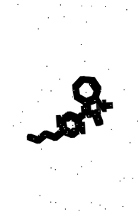 C=C1N(C)C2=C(CCCC=C2)N1c1cnc(CCCC)cn1